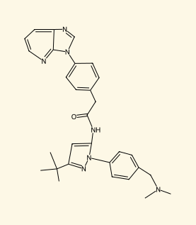 CN(C)Cc1ccc(-n2nc(C(C)(C)C)cc2NC(=O)Cc2ccc(-n3cnc4cccnc43)cc2)cc1